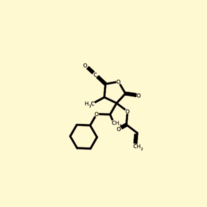 C=CC(=O)OC1(C(C)OC2CCCCC2)C(=O)OC(=C=O)C1C